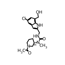 CC(=O)N1CCC[C@@H](N(C)C(=O)NCc2cc3cc(Cl)cc(CO)c3[nH]2)C1